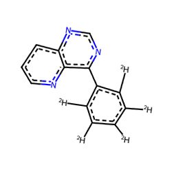 [2H]c1c([2H])c([2H])c(-c2ncnc3cccnc23)c([2H])c1[2H]